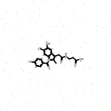 Cc1c(CC(=O)NCCC(=O)O)c2cc(O)c(Cl)cc2n1C(=O)c1ccc(F)cc1